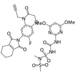 C#CCN1C(=O)COc2cc(F)c(N3C(=O)C4=C(CCCC4)C3=O)cc21.COc1cc(OC)nc(NC(=O)NS(=O)(=O)N(C)S(C)(=O)=O)n1